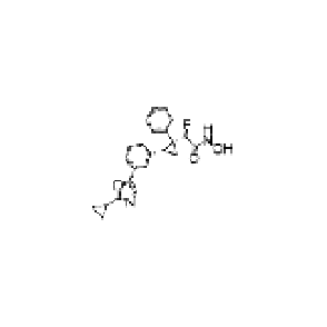 O=C(NO)C(F)[C@]1(c2ccccc2)C[C@@H]1c1cccc(-c2cnc(C3CC3)o2)c1